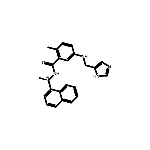 Cc1ccc(NCc2cnc[nH]2)cc1C(=O)N[C@H](C)c1cccc2ccccc12